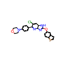 ClC1=CC2NC(Oc3ccc4sccc4c3)=NC2N=C1c1ccc(N2CCOCC2)cc1